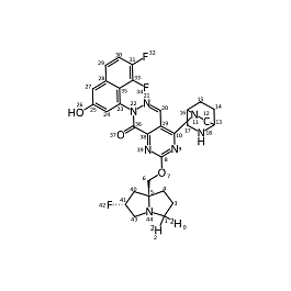 [2H]C1([2H])CC[C@@]2(COc3nc(N4CC5CCC4CN5)c4cnn(-c5cc(O)cc6ccc(F)c(F)c56)c(=O)c4n3)C[C@@H](F)CN12